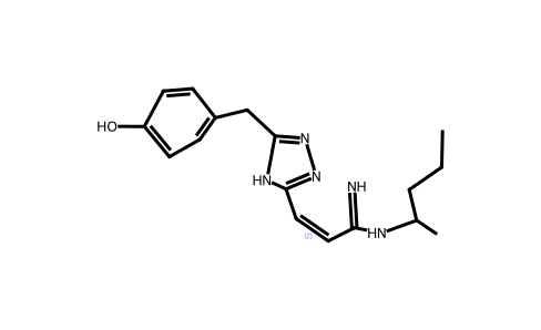 CCCC(C)NC(=N)/C=C\c1nnc(Cc2ccc(O)cc2)[nH]1